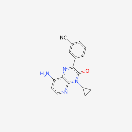 N#Cc1cccc(-c2nc3c(N)ccnc3n(C3CC3)c2=O)c1